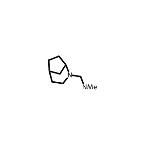 CNCN1CCC2CCC1C2